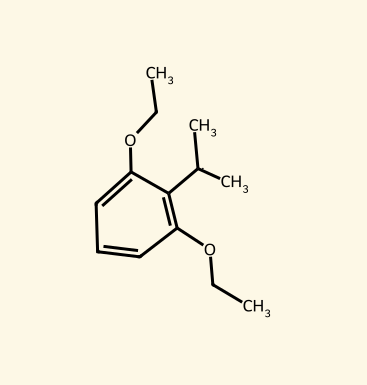 CCOc1cccc(OCC)c1[C](C)C